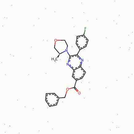 C[C@H]1COCCN1c1nc2cc(C(=O)OCc3ccccc3)ccc2nc1-c1ccc(F)cc1